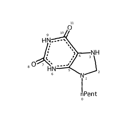 CCCCCN1CNc2c1[nH]c(=O)[nH]c2=O